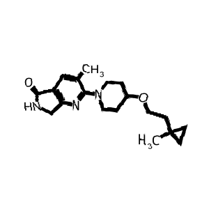 Cc1cc2c(nc1N1CCC(OCCC3(C)CC3)CC1)CNC2=O